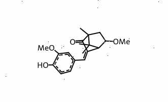 COc1cc(C=C2C(=O)C3(C)CC(OC)C2C3(C)C)ccc1O